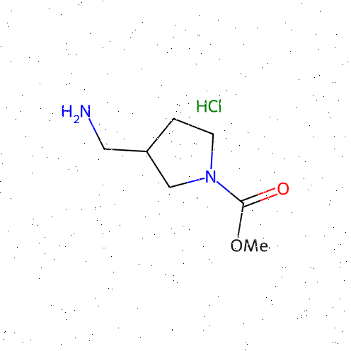 COC(=O)N1CCC(CN)C1.Cl